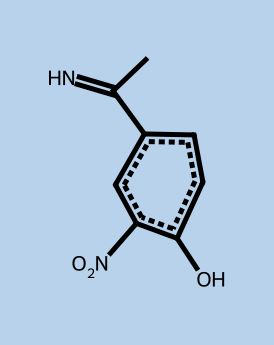 CC(=N)c1ccc(O)c([N+](=O)[O-])c1